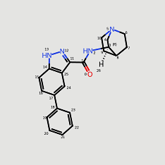 O=C(N[C@H]1CN2CCC1CC2)c1n[nH]c2ccc(-c3ccccc3)cc12